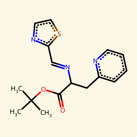 CC(C)(C)OC(=O)C(Cc1ccccn1)N=Cc1nccs1